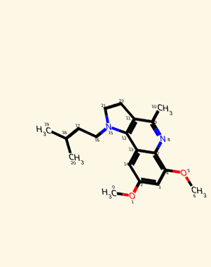 COc1cc(OC)c2nc(C)c3c(c2c1)N(CCC(C)C)CC3